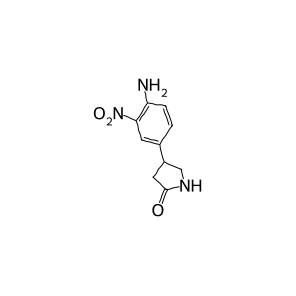 Nc1ccc(C2CNC(=O)C2)cc1[N+](=O)[O-]